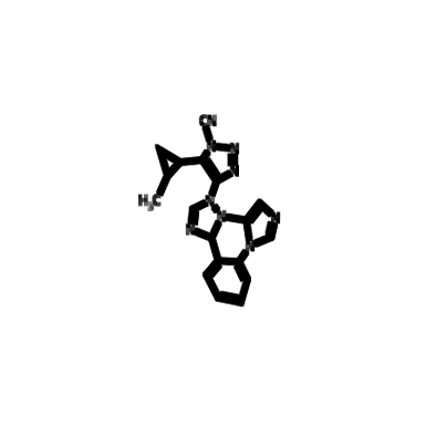 CC1CC1c1c(N2C=NC3c4ccccc4-n4cncc4N32)nnn1C#N